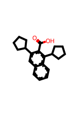 O=C(O)c1c(C2CCCC2)cc2ccccc2c1C1CCCC1